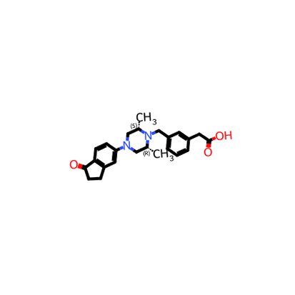 C[C@@H]1CN(c2ccc3c(c2)CCC3=O)C[C@H](C)N1Cc1cccc(CC(=O)O)c1